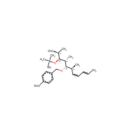 CC=C/C=C\[C@H](C)[C@H](OCc1ccc(OC)cc1)[C@@H](C)[C@@H](O[Si](C)(C)C(C)(C)C)[C@H](C)C=O